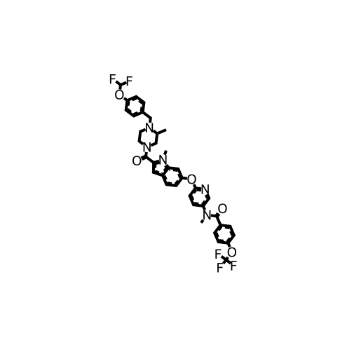 CC1CN(C(=O)c2cc3ccc(Oc4ccc(N(C)C(=O)c5ccc(OC(F)(F)F)cc5)cn4)cc3n2C)CCN1Cc1ccc(OC(F)F)cc1